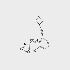 O=C(O)c1nn[nH]c1Oc1cccc(C#CC2CCC2)c1